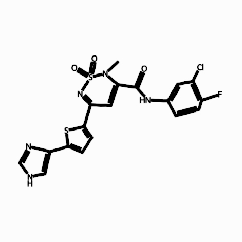 CN1C(C(=O)Nc2ccc(F)c(Cl)c2)=CC(c2ccc(-c3c[nH]cn3)s2)=NS1(=O)=O